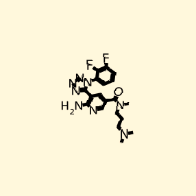 CN(C)CCCN(C)C(=O)c1cnc(N)c(-c2nnnn2-c2cccc(F)c2F)c1